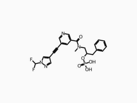 CN(CC(Cc1ccccc1)OP(=O)(O)O)C(=O)c1cncc(C#Cc2cnn(C(F)F)c2)c1